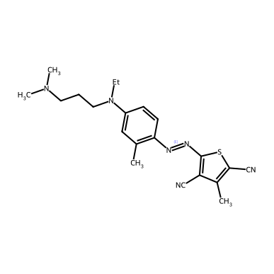 CCN(CCCN(C)C)c1ccc(/N=N/c2sc(C#N)c(C)c2C#N)c(C)c1